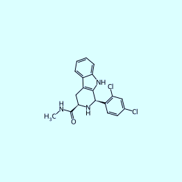 CNC(=O)[C@H]1Cc2c([nH]c3ccccc23)[C@@H](c2ccc(Cl)cc2Cl)N1